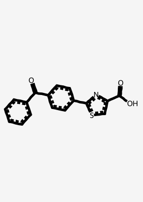 O=C(c1ccccc1)c1ccc(-c2nc(C(=O)O)cs2)cc1